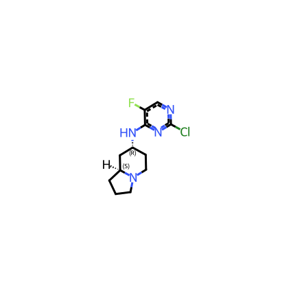 Fc1cnc(Cl)nc1N[C@@H]1CCN2CCC[C@H]2C1